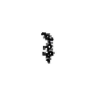 CCn1cc(CN(C)C)c2cccc(Sc3ccc(/C=C/C(=O)N4CCN(C(C)=O)CC4)cc3Cl)c21